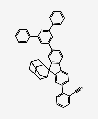 N#Cc1ccccc1-c1ccc2c(c1)C1(c3cc(-c4cc(-c5ccccc5)nc(-c5ccccc5)c4)ccc3-2)C2CC3CC(C2)CC1C3